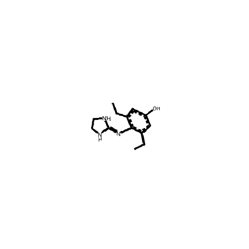 CCc1cc(O)cc(CC)c1N=C1NCCN1